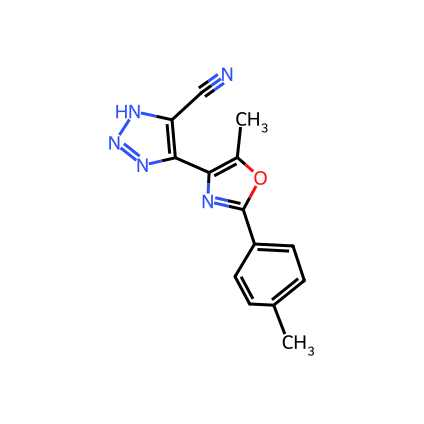 Cc1ccc(-c2nc(-c3nn[nH]c3C#N)c(C)o2)cc1